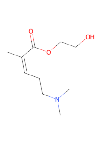 CC(=CCCN(C)C)C(=O)OCCO